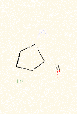 Cl.N[C@H]1CCC[C@H]1C=O